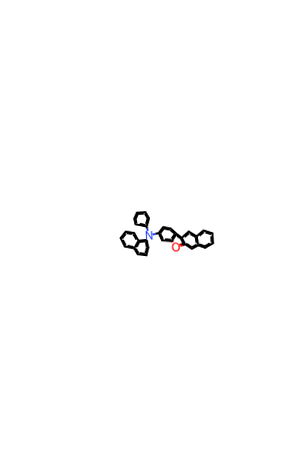 c1ccc(N(c2ccc3c(c2)oc2cc4ccccc4cc23)c2cccc3ccccc23)cc1